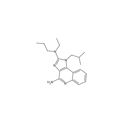 CCCN(CC)c1nc2c(N)nc3ccccc3c2n1CC(C)C